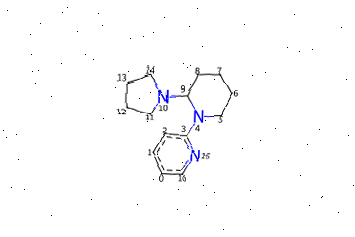 c1ccc(N2CCCCC2N2CCCC2)nc1